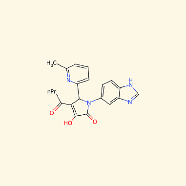 CCCC(=O)C1=C(O)C(=O)N(c2ccc3[nH]cnc3c2)C1c1cccc(C)n1